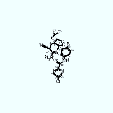 C[C@]1(C#N)C[C@H]2[C@H](C(F)(F)F)OC[C@@]2(c2cc(NC(=O)c3ncc(Cl)cn3)ccc2F)N=C1N